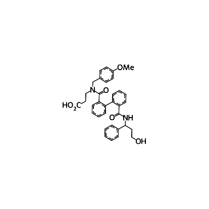 COc1ccc(CN(CCC(=O)O)C(=O)c2ccccc2-c2ccccc2C(=O)NC(CCO)c2ccccc2)cc1